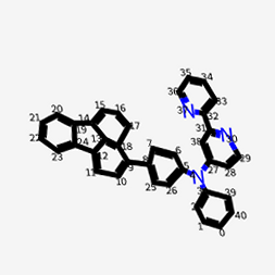 c1ccc(N(c2ccc(-c3ccc4c5c(cccc35)-c3ccccc3-4)cc2)c2ccnc(-c3ccccn3)c2)cc1